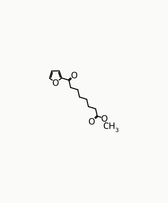 COC(=O)CCCCCCC(=O)c1ccco1